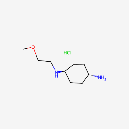 COCCN[C@H]1CC[C@H](N)CC1.Cl